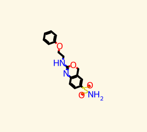 NS(=O)(=O)c1ccc2c(c1)COC(NCCOc1ccccc1)=N2